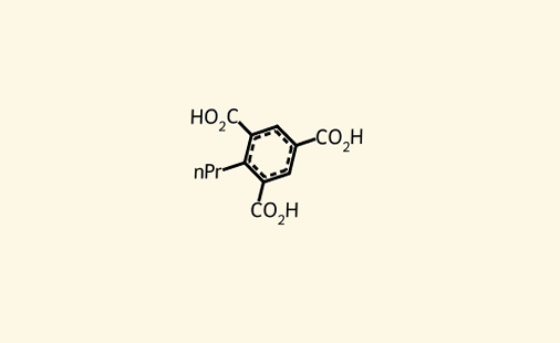 [CH2]CCc1c(C(=O)O)cc(C(=O)O)cc1C(=O)O